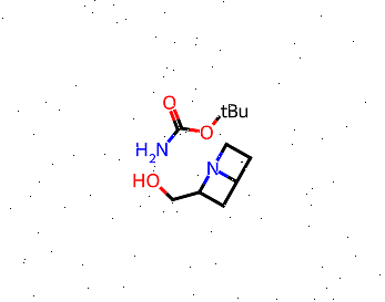 CC(C)(C)OC(N)=O.OCC1CC2CCN12